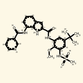 COc1c(NC(=O)c2cc3cccc(NC(=O)c4cccnc4)c3[nH]2)cc(C(C)(C)C)cc1NS(C)(=O)=O